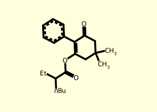 CCCCC(CC)C(=O)OC1=C(c2ccccc2)C(=O)CC(C)(C)C1